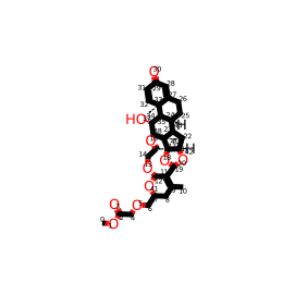 COC(=O)COCC1CC(C)=C2C(OCC(=O)[C@@]34OC2O[C@@H]3CC2[C@@H]3CCC5=CC(=O)C=C[C@]5(C)C3[C@@H](O)C[C@@]24C)O1